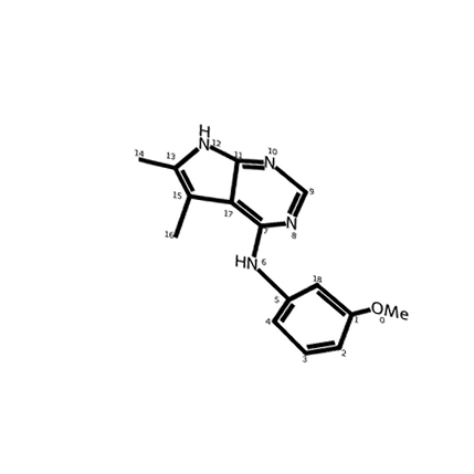 COc1cccc(Nc2ncnc3[nH]c(C)c(C)c23)c1